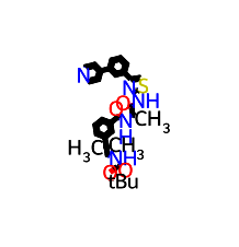 CC(NC(=O)c1cccc(C(C)(C)CNC(=O)OC(C)(C)C)c1)C(=O)Nc1nc(-c2cccc(-c3ccncc3)c2)cs1